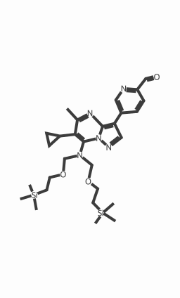 Cc1nc2c(-c3ccc(C=O)nc3)cnn2c(N(COCC[Si](C)(C)C)COCC[Si](C)(C)C)c1C1CC1